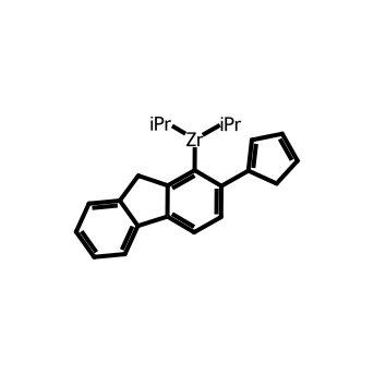 C[CH](C)[Zr]([c]1c(C2=CC=CC2)ccc2c1Cc1ccccc1-2)[CH](C)C